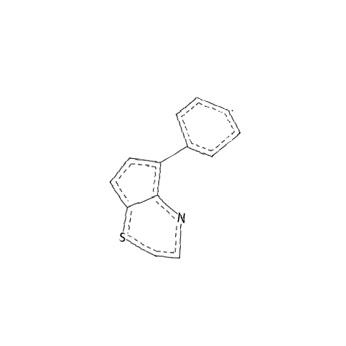 [c]1ccc(-c2ccc3sccnc2-3)cc1